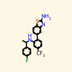 CC(Nc1cc(C(F)(F)F)ccc1-c1[c]c2nc(N)sc2cc1)c1ccc(F)cc1